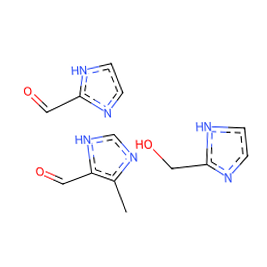 Cc1nc[nH]c1C=O.O=Cc1ncc[nH]1.OCc1ncc[nH]1